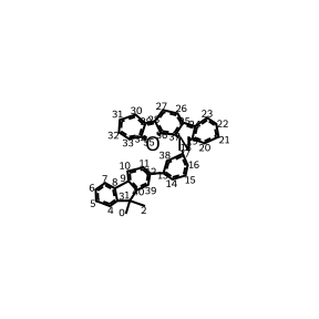 CC1(C)c2ccccc2-c2ccc(-c3cccc(-n4c5ccccc5c5ccc6c7ccccc7oc6c54)c3)cc21